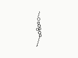 C=CCCCCCCCOc1ccc(C(=O)Oc2ccc(OC[C@H]3CC[C@H](CCCCC)CC3)cc2)cc1